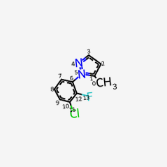 Cc1ccnn1-c1cccc(Cl)c1F